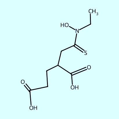 CCN(O)C(=S)CC(CCC(=O)O)C(=O)O